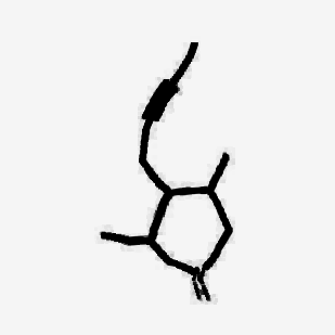 CC#CCC1C(C)CNCC1C